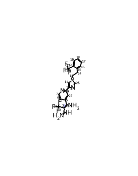 NN/C(=C(\N)c1ccnc(-c2cn(CCc3ccccc3C(F)(F)F)cn2)c1)C(F)(F)F